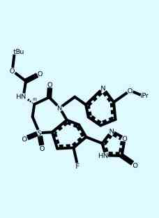 CC(C)Oc1cccc(CN2C(=O)[C@@H](NC(=O)OC(C)(C)C)CS(=O)(=O)c3cc(F)c(-c4noc(=O)[nH]4)cc32)n1